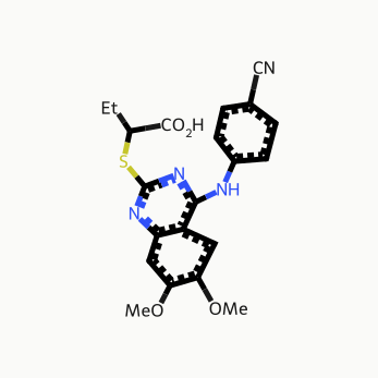 CCC(Sc1nc(Nc2ccc(C#N)cc2)c2cc(OC)c(OC)cc2n1)C(=O)O